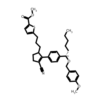 CCCCC[C@H](OCc1ccc(OC)cc1)c1ccc(C2=C(C#N)CCC2CCCc2ccc(C(=O)OC)s2)cc1